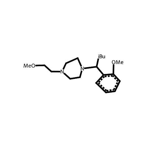 CCC(C)C(c1ccccc1OC)N1CCN(CCOC)CC1